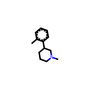 Cc1ccccc1C1CCCN(C)C1